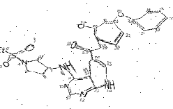 CCS(=O)(=O)N1CCC(Nc2ncnc3[nH]cc(C(=O)c4ccc(Oc5ccccc5)cc4Cl)c23)C1